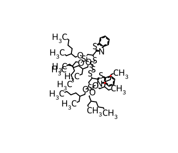 CCCCC(CC)CO[Si](CC(SSSSC(C[Si](OCC(CC)CCCC)(OCC(CC)CCCC)OCC(CC)CCCC)c1nc2ccccc2s1)c1nc2ccccc2s1)(OCC(CC)CCCC)OCC(CC)CCCC